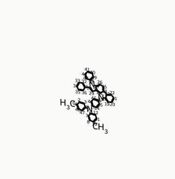 Cc1ccc(N(c2ccc(C)cc2)c2ccc(-n3c4ccccc4c4ccc5c(cc(-c6ccccc6)n5-c5ccccc5)c43)cc2)cc1